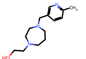 Cc1ccc(CN2CCCN(CCO)CC2)cn1